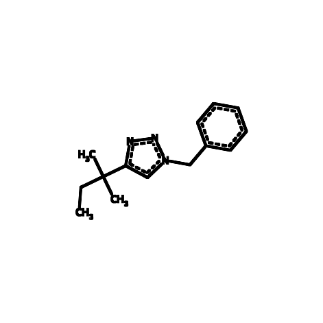 CCC(C)(C)c1cn(Cc2ccccc2)nn1